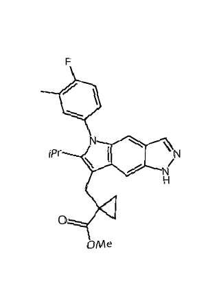 COC(=O)C1(Cc2c(C(C)C)n(-c3ccc(F)c(C)c3)c3cc4cn[nH]c4cc23)CC1